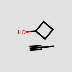 C#CC.OC1CCC1